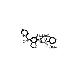 COc1cccc(OC)c1S(=O)(=O)Nc1noc2cc([C@@H](Cl)c3ccccn3)c3c(c12)OCC3